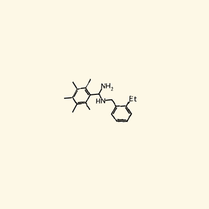 CCc1ccccc1CNC(N)c1c(C)c(C)c(C)c(C)c1C